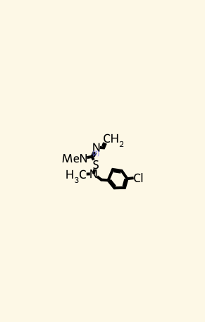 C=C/N=C(/NC)SN(C)Cc1ccc(Cl)cc1